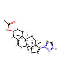 CC(=O)O[C@H]1CC[C@@]2(C)C(=CC[C@@H]3[C@@H]2CC[C@]2(C)C(n4ccnn4)=CC[C@@H]32)C1